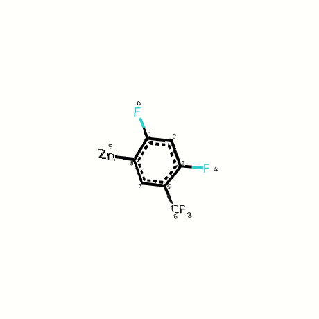 Fc1cc(F)c(C(F)(F)F)c[c]1[Zn]